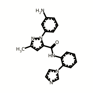 Cc1cc(C(=O)Nc2ccccc2-n2ccnc2)n(-c2cccc(N)c2)n1